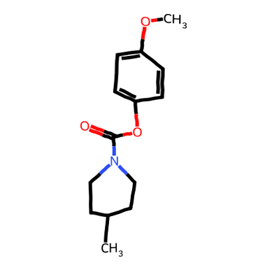 COc1ccc(OC(=O)N2CCC(C)CC2)cc1